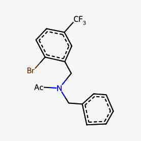 CC(=O)N(Cc1ccccc1)Cc1cc(C(F)(F)F)ccc1Br